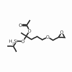 CC(=O)OC(C)(CCCOCC1CO1)O[SiH2]C(C)C